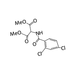 COC(=O)C(NC(=O)c1ccc(Cl)cc1Cl)C(=O)OC